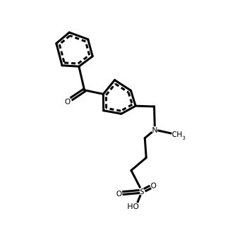 CN(CCCS(=O)(=O)O)Cc1ccc(C(=O)c2ccccc2)cc1